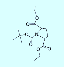 CCOC(=O)C1CCC(C(=O)OCC)N1C(=O)OC(C)(C)C